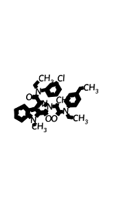 CCc1ccc(N(CC)C(=O)C(C)n2nc(C(=O)N(CC)c3cccc(Cl)c3)c3c4ccccc4n(C)c3c2=O)cc1